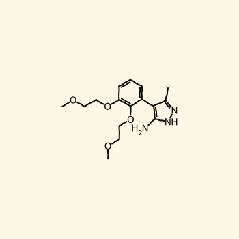 COCCOc1cccc(-c2c(C)n[nH]c2N)c1OCCOC